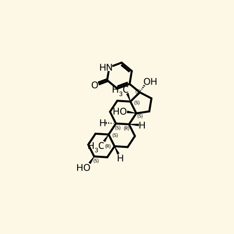 C[C@]12CC[C@H](O)C[C@H]1CC[C@@H]1[C@@H]2CC[C@]2(C)[C@@](O)(c3cc[nH]c(=O)c3)CC[C@]12O